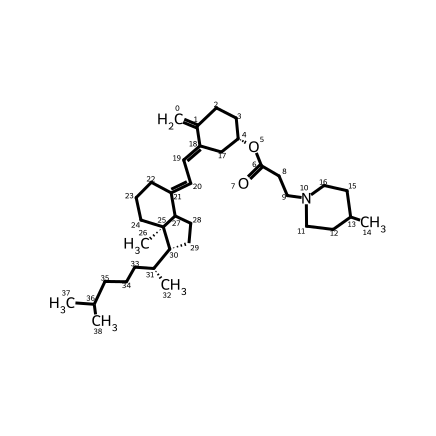 C=C1CC[C@H](OC(=O)CCN2CCC(C)CC2)C/C1=C\C=C1/CCC[C@@]2(C)C1CC[C@@H]2[C@H](C)CCCC(C)C